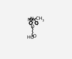 CCN(c1ccccc1)c1ncnc2ccc(OCCCCCC(=O)O)cc12